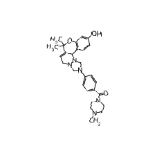 CN1CCN(C(=O)c2ccc(N3CN4CC=C5C(c6ccc(O)cc6OC5(C)C)N4C3)cc2)CC1